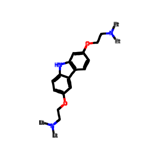 CCN(CC)CCOc1ccc2c(c1)[nH]c1ccc(OCCN(CC)CC)cc12